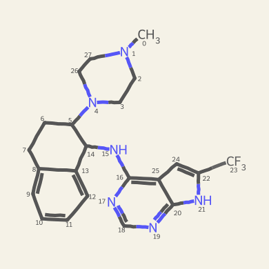 CN1CCN(C2CCc3ccccc3C2Nc2ncnc3[nH]c(C(F)(F)F)cc23)CC1